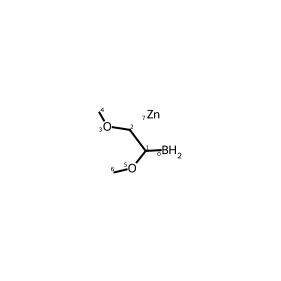 BC(COC)OC.[Zn]